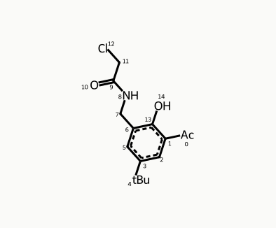 CC(=O)c1cc(C(C)(C)C)cc(CNC(=O)CCl)c1O